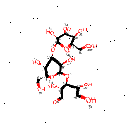 O=C[C@H](O)[C@@H](OC1O[C@H](CO)[C@H](O)[C@H](OC2O[C@H](CO)[C@H](O)[C@H](O)[C@H]2O)[C@H]1O)[C@@H](O)CO